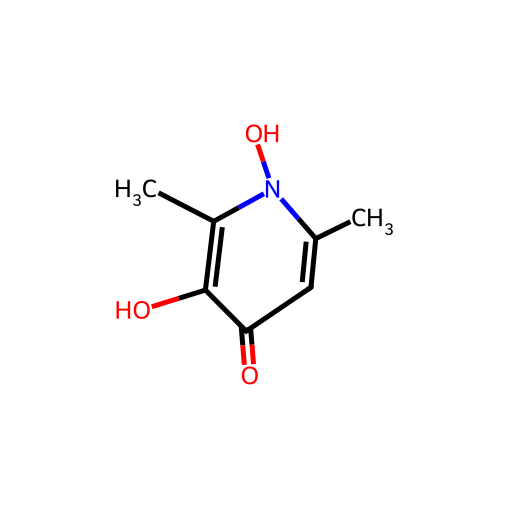 Cc1cc(=O)c(O)c(C)n1O